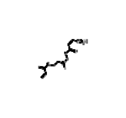 C=CC(=C)OCCN(C)COC(=O)/C=C\C(=O)O